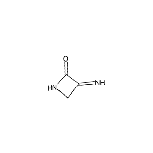 N=C1CNC1=O